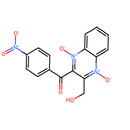 O=C(c1ccc([N+](=O)[O-])cc1)c1c(CO)[n+]([O-])c2ccccc2[n+]1[O-]